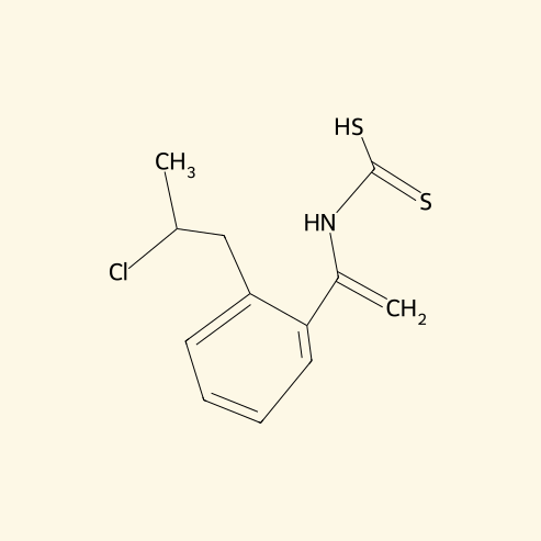 C=C(NC(=S)S)c1ccccc1CC(C)Cl